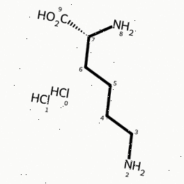 Cl.Cl.NCCCC[C@@H](N)C(=O)O